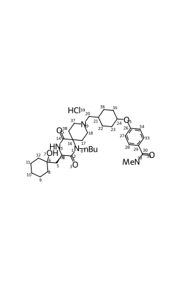 CCCCN1C(=O)[C@@H](CC2(O)CCCCC2)NC(=O)C12CCN(CC1CCC(Oc3ccc(C(=O)NC)cc3)CC1)CC2.Cl